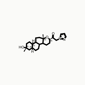 C[C@@]1(O)CC[C@@H]2C3CC[C@]4(C)O[C@@H](C(=O)Cn5cccn5)CCC4C3CC[C@@H]2C1